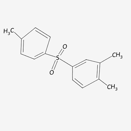 Cc1ccc(S(=O)(=O)c2ccc(C)c(C)c2)cc1